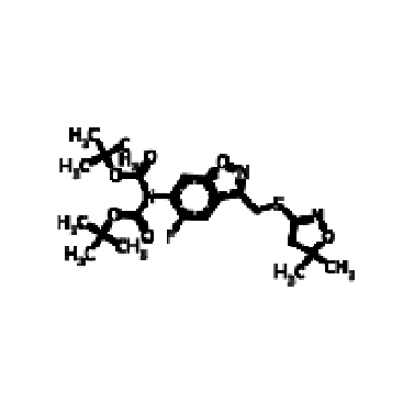 CC(C)(C)OC(=O)N(C(=O)OC(C)(C)C)c1cc2onc(CSC3=NOC(C)(C)C3)c2cc1F